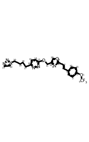 FC(F)(F)Oc1ccc(C=Cc2nc(COc3ccc(CCCCn4ccnn4)nn3)co2)cc1